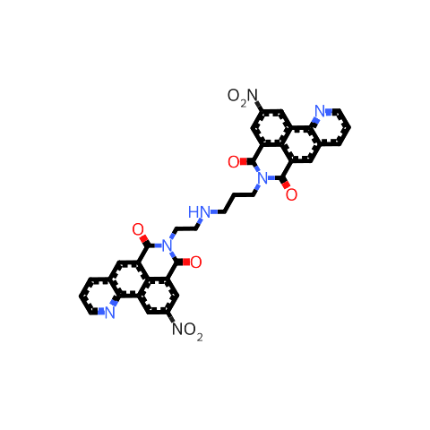 O=C1c2cc([N+](=O)[O-])cc3c2c(cc2cccnc23)C(=O)N1CCCNCCN1C(=O)c2cc([N+](=O)[O-])cc3c2c(cc2cccnc23)C1=O